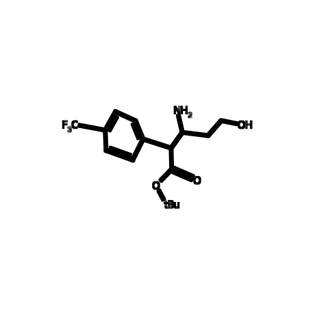 CC(C)(C)OC(=O)C(c1ccc(C(F)(F)F)cc1)C(N)CCO